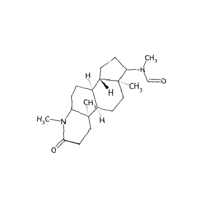 CN(C=O)C1CC[C@H]2[C@@H]3CCC4N(C)C(=O)CC[C@]4(C)[C@@H]3CC[C@]12C